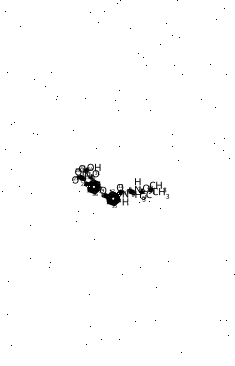 CC(C)(C)OC(=O)NCCNC(=O)c1cccc(COc2ccc(C[C@H](C(=O)O)N(C=O)C(=O)O)cc2)c1